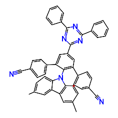 Cc1ccc2c(c1)c1cc(C)ccc1n2-c1c(-c2ccc(C#N)cc2)cc(-c2nc(-c3ccccc3)nc(-c3ccccc3)n2)cc1-c1ccc(C#N)cc1